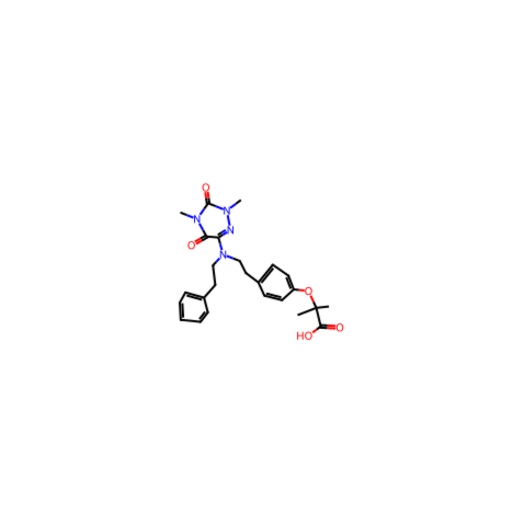 Cn1nc(N(CCc2ccccc2)CCc2ccc(OC(C)(C)C(=O)O)cc2)c(=O)n(C)c1=O